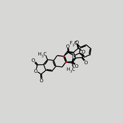 Cc1c2c(cc3c1C1c4cc5c(c(C)c4C3C3C(=O)N(c4ccccc4C(F)(F)F)C(=O)C13)C(=O)OC5=O)C(=O)OC2=O